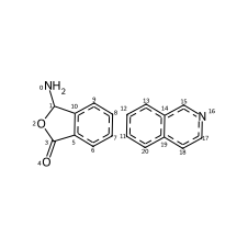 NC1OC(=O)c2ccccc21.c1ccc2cnccc2c1